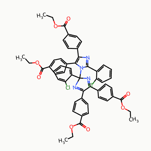 CCOC(=O)c1ccc(C2=NC(c3ccccc3Cl)(n3c(-c4ccccc4Cl)nc(-c4ccc(C(=O)OCC)cc4)c3-c3ccc(C(=O)OCC)cc3)N=C2c2ccc(C(=O)OCC)cc2)cc1